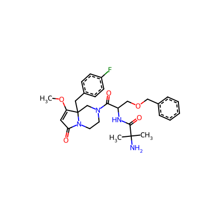 COC1=CC(=O)N2CCN(C(=O)C(COCc3ccccc3)NC(=O)C(C)(C)N)CC12Cc1ccc(F)cc1